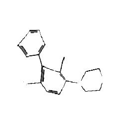 Cc1c(N2CCNCC2)ccc([N+](=O)[O-])c1-c1ccccc1